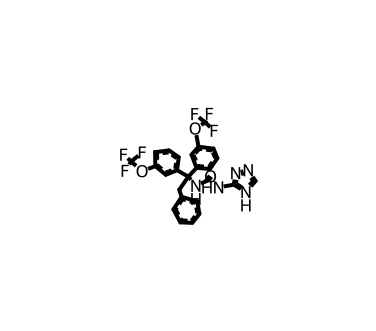 O=C(Nc1nnc[nH]1)NC(Cc1ccccc1)(c1cccc(OC(F)(F)F)c1)c1cccc(OC(F)(F)F)c1